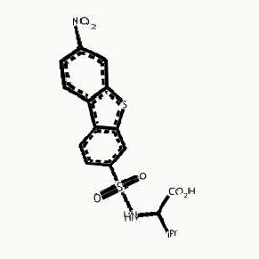 CC(C)C(NS(=O)(=O)c1ccc2c(c1)sc1cc([N+](=O)[O-])ccc12)C(=O)O